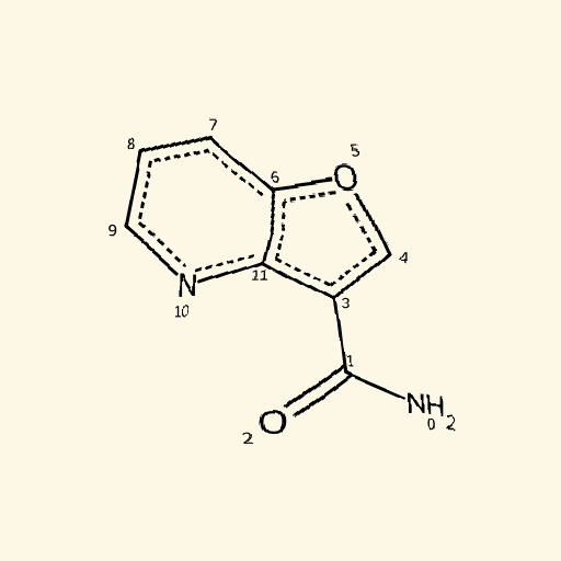 NC(=O)c1coc2cccnc12